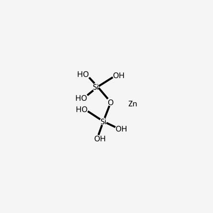 O[Si](O)(O)O[Si](O)(O)O.[Zn]